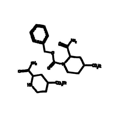 CCOC(=O)C1CCN(C(=O)OCc2ccccc2)C(C(N)=O)C1.CCOC(=O)C1CCNC(C(N)=O)C1